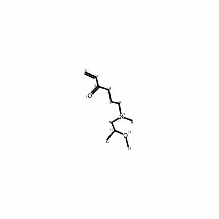 C=CC(=O)CCCN(C)CC(C)OC